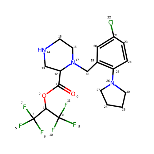 O=C(OC(C(F)(F)F)C(F)(F)F)C1CNCCN1Cc1cc(Cl)ccc1N1CCCC1